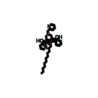 CCCCCCCCCCCCN1C(c2ccccn2)C2(C(=O)O)CN(Cc3ccccn3)CC(C(=O)O)(C2=O)C1c1ccccn1